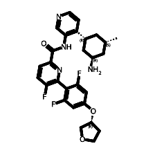 C[C@@H]1C[C@@H](N)C[C@H](c2ccncc2NC(=O)c2ccc(F)c(-c3c(F)cc(O[C@@H]4CCOC4)cc3F)n2)C1